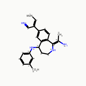 CN/C=C(\C=N)c1ccc2c(c1)C(Nc1cccc(C(=O)O)c1)CCN/C2=C(/C)N